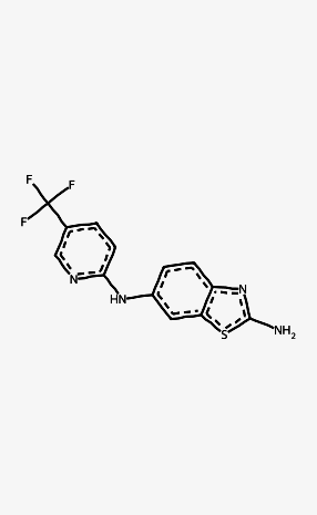 Nc1nc2ccc(Nc3ccc(C(F)(F)F)cn3)cc2s1